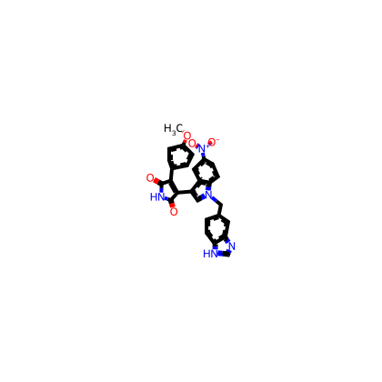 COc1ccc(C2=C(c3cn(Cc4ccc5[nH]cnc5c4)c4ccc([N+](=O)[O-])cc34)C(=O)NC2=O)cc1